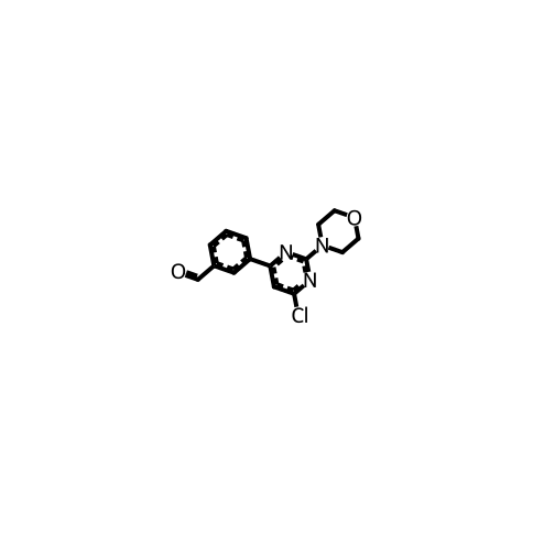 O=Cc1cccc(-c2cc(Cl)nc(N3CCOCC3)n2)c1